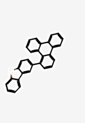 c1ccc2c(c1)sc1ccc(-c3cccc4c5ccccc5c5ccccc5c34)cc12